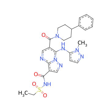 CCS(=O)(=O)NC(=O)c1cnn2c(Nc3ccnn3C)c(C(=O)N3CCC(c4ccccc4)CC3)cnc12